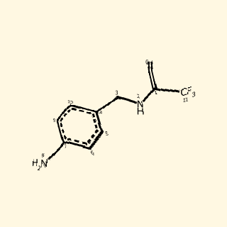 C=C(NCc1ccc(N)cc1)C(F)(F)F